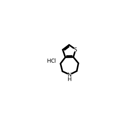 Cl.c1cc2c(s1)CCNCC2